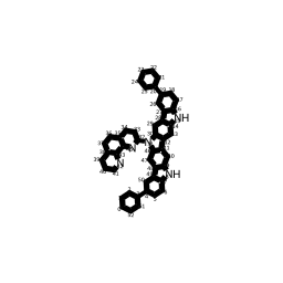 c1ccc(-c2ccc3[nH]c4cc5c6cc7[nH]c8ccc(-c9ccccc9)cc8c7cc6n(-c6ccc7ccc8cccnc8c7n6)c5cc4c3c2)cc1